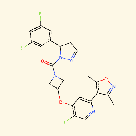 Cc1noc(C)c1-c1cc(OC2CN(C(=O)N3N=CCC3c3cc(F)cc(F)c3)C2)c(F)cn1